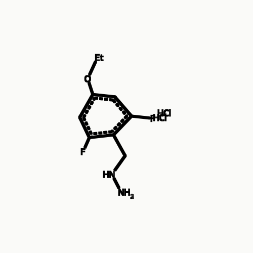 CCOc1cc(F)c(CNN)c(F)c1.Cl.Cl